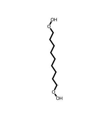 OO[CH]CCCCCCCCOO